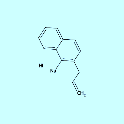 C=CCc1ccc2ccccc2[c]1[Na].I